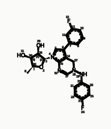 C[C@H]1O[C@@H](n2cc(-c3cccc(F)c3)c3c2N=CN(Nc2ccc(F)cc2)C3)[C@H](O)[C@@H]1O